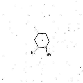 CC[C@@H]1C[C@H](C)CCN1C(C)C